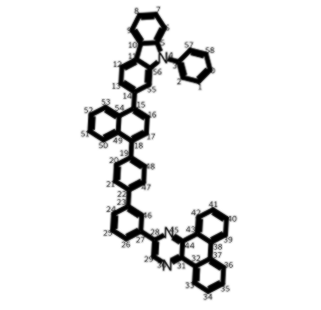 c1ccc(-n2c3ccccc3c3ccc(-c4ccc(-c5ccc(-c6cccc(-c7cnc8c9ccccc9c9ccccc9c8n7)c6)cc5)c5ccccc45)cc32)cc1